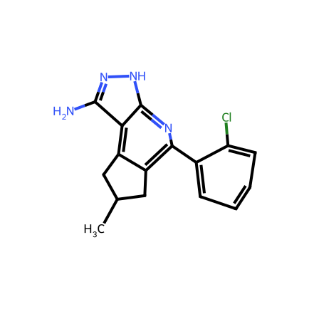 CC1Cc2c(-c3ccccc3Cl)nc3[nH]nc(N)c3c2C1